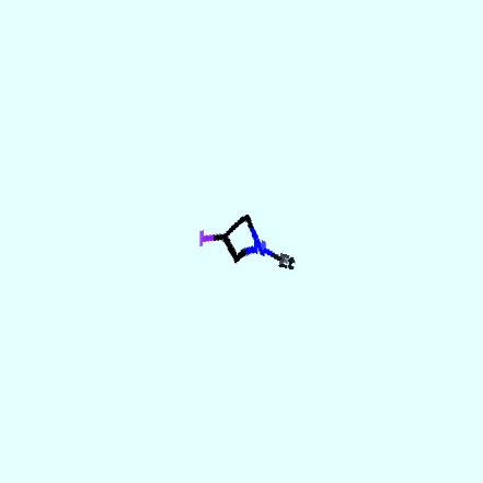 CCN1CC(I)C1